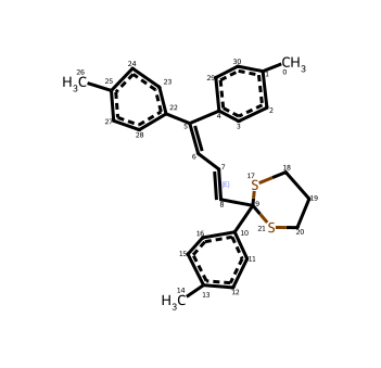 Cc1ccc(C(=C/C=C/C2(c3ccc(C)cc3)SCCCS2)c2ccc(C)cc2)cc1